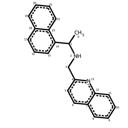 CC(NCc1ccc2ccccc2n1)c1cccc2ccccc12